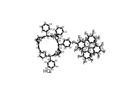 C1=Cc2nc1cc1ccc([nH]1)c(-c1ccccc1)c1[n+](-c3ccccc3)c(c(-c3ccccc3)c3ccc([nH]3)c2-c2ccccc2)C=C1.Cl.Fc1c(F)c(F)c([B-](c2c(F)c(F)c(F)c(F)c2F)(c2c(F)c(F)c(F)c(F)c2F)c2c(F)c(F)c(F)c(F)c2F)c(F)c1F